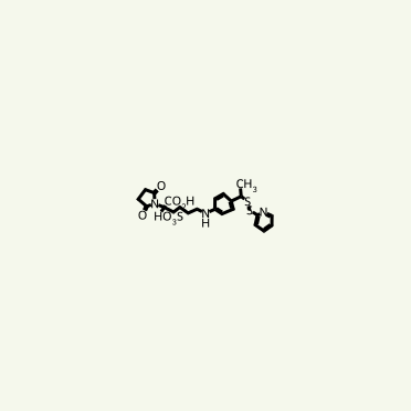 CC(SSc1ccccn1)c1ccc(NCCCCC(C(=O)O)(N2C(=O)CCC2=O)S(=O)(=O)O)cc1